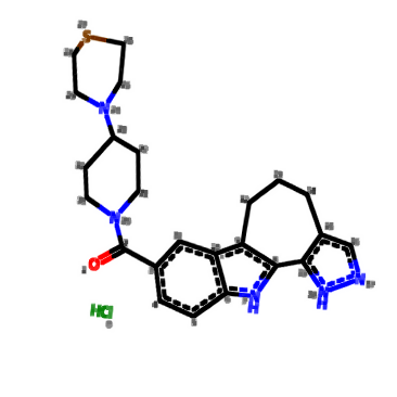 Cl.O=C(c1ccc2[nH]c3c(c2c1)CCCc1cn[nH]c1-3)N1CCC(N2CCSCC2)CC1